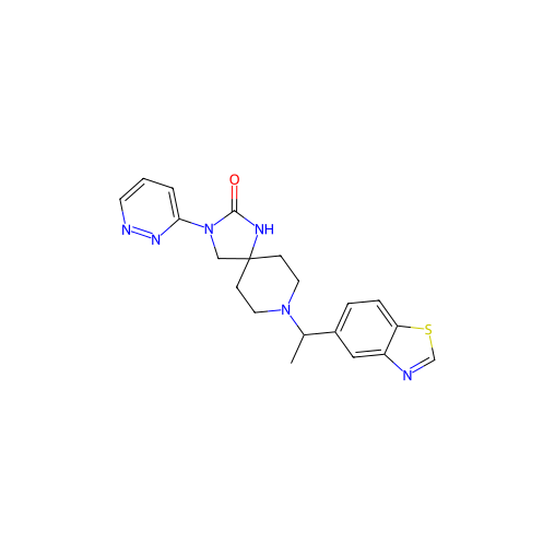 CC(c1ccc2scnc2c1)N1CCC2(CC1)CN(c1cccnn1)C(=O)N2